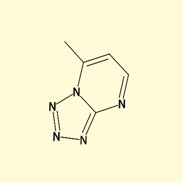 Cc1ccnc2nnnn12